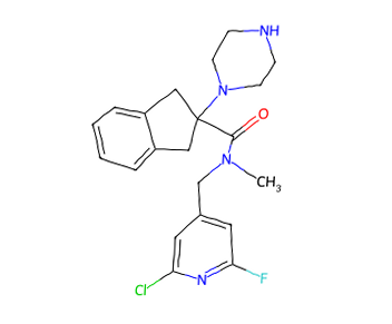 CN(Cc1cc(F)nc(Cl)c1)C(=O)C1(N2CCNCC2)Cc2ccccc2C1